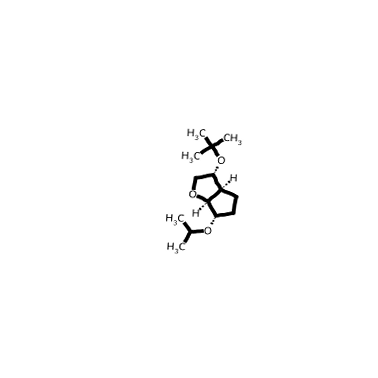 CC(C)O[C@H]1CC[C@H]2[C@@H]1OC[C@@H]2OC(C)(C)C